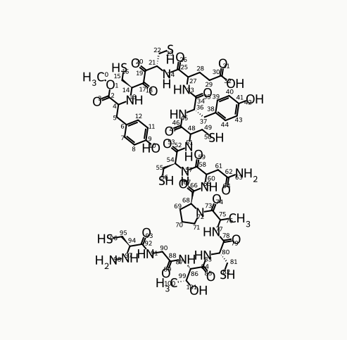 COC(=O)C(Cc1ccc(O)cc1)N[C@@H](CS)C(=O)C(=O)[C@H](CS)NC(=O)C(CCC(=O)O)NC(=O)[C@H](Cc1ccc(O)cc1)NC(=O)C(CS)NC(=O)[C@H](CS)NC(=O)C(CC(N)=O)NC(=O)[C@@H]1CCCN1C(=O)C(C)NC(=O)[C@H](CS)NC(=O)[C@@H](NC(=O)CNC(=O)[C@H](CS)NN)[C@@H](C)O